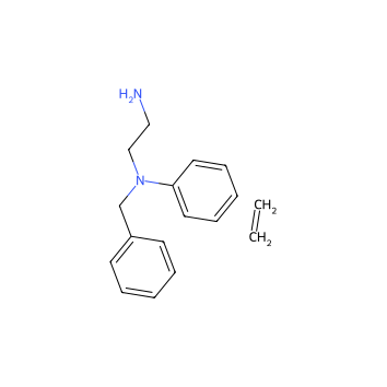 C=C.NCCN(Cc1ccccc1)c1ccccc1